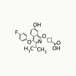 CC(C)c1nc(O[C@H]2C[C@H](C(=O)O)C2)c2cc(O)ccc2c1Oc1ccc(F)cc1